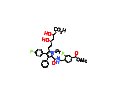 COC(=O)c1ccc(CNC(=O)c2c(-c3ccccc3)c(-c3ccc(F)cc3)c(C=CC(O)CC(O)CC(=O)O)n2C(C)C)c(F)c1